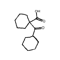 O=C(O)C1(C(=O)C2CCCCC2)CCCCC1